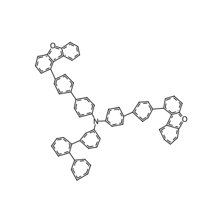 c1ccc(-c2ccccc2-c2cccc(N(c3ccc(-c4ccc(-c5cccc6oc7ccccc7c56)cc4)cc3)c3ccc(-c4ccc(-c5cccc6oc7ccccc7c56)cc4)cc3)c2)cc1